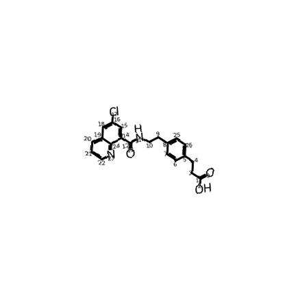 O=C(O)CCc1ccc(CCNC(=O)c2cc(Cl)cc3cccnc23)cc1